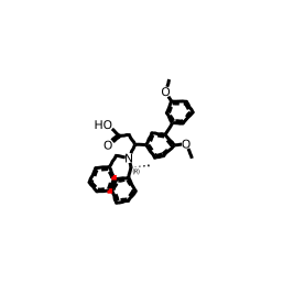 COc1cccc(-c2cc(C(CC(=O)O)N(Cc3ccccc3)[C@H](C)c3ccccc3)ccc2OC)c1